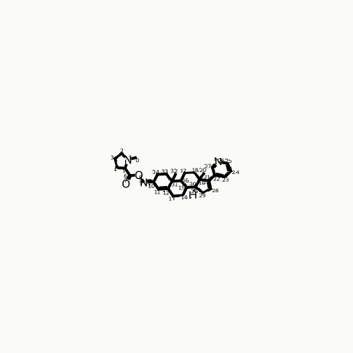 CN1CCCC1C(=O)O/N=C1/C=C2CCC3C(CCC4(C)C(c5cccnc5)=CC[C@@H]34)C2(C)CC1